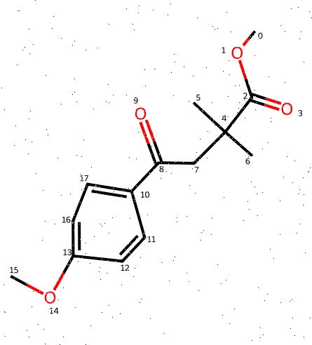 COC(=O)C(C)(C)CC(=O)c1ccc(OC)cc1